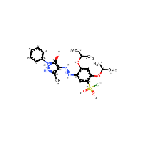 COC(C)Oc1cc(OC(C)OC)c(S(=O)(=O)Cl)cc1/N=N/c1c(C#N)[nH]n(-c2ccccc2)c1=O